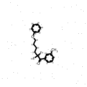 Cc1cccc(C(=O)C(F)(F)CCCCOc2ccccc2)c1